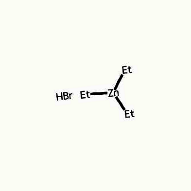 Br.C[CH2][Zn]([CH2]C)[CH2]C